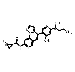 CCC[C@H](O)c1cc(C)c(-c2cc3cnc(NC(=O)[C@H]4C[C@H]4F)cc3n3ncnc23)cn1